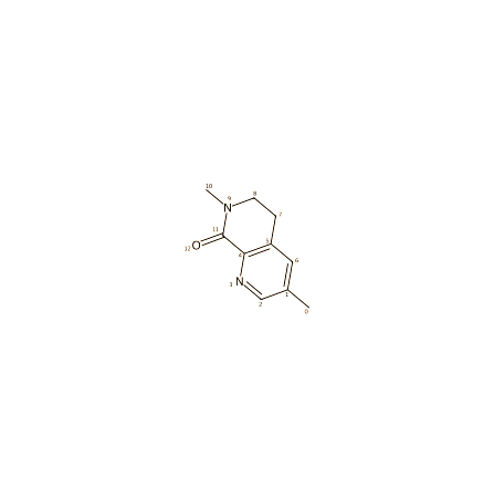 Cc1cnc2c(c1)CCN(C)C2=O